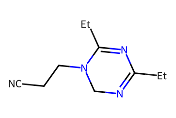 CCC1=NCN(CCC#N)C(CC)=N1